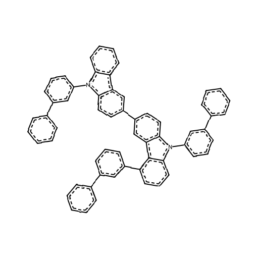 c1ccc(-c2cccc(-c3cccc4c3c3cc(-c5ccc6c(c5)c5ccccc5n6-c5cccc(-c6ccccc6)c5)ccc3n4-c3cccc(-c4ccccc4)c3)c2)cc1